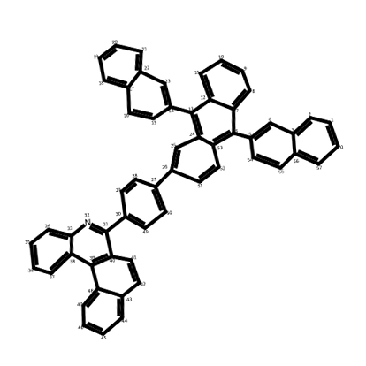 c1ccc2cc(-c3c4ccccc4c(-c4ccc5ccccc5c4)c4cc(-c5ccc(-c6nc7ccccc7c7c6ccc6ccccc67)cc5)ccc34)ccc2c1